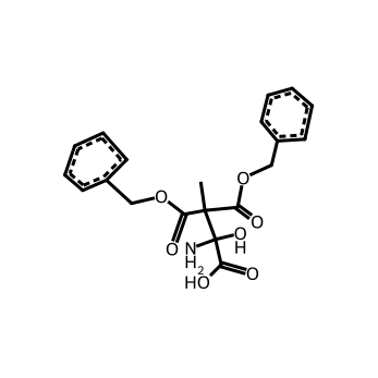 CC(C(=O)OCc1ccccc1)(C(=O)OCc1ccccc1)C(N)(O)C(=O)O